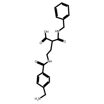 NCc1ccc(C(=O)NCCC(C(=O)O)C(=O)NCc2ccccc2)cc1